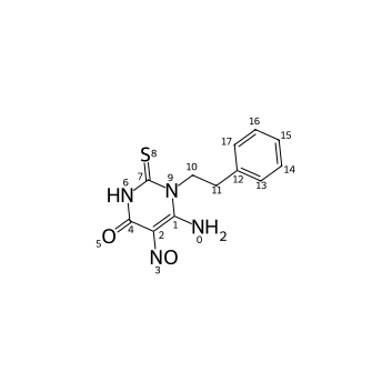 Nc1c(N=O)c(=O)[nH]c(=S)n1CCc1ccccc1